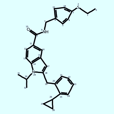 CCSc1ccc(CNC(=O)c2ccc3c(c2)cc(Cc2ccccc2C2CC2)n3C(C)C)cc1